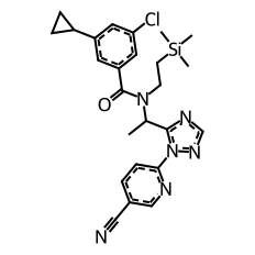 CC(c1ncnn1-c1ccc(C#N)cn1)N(CC[Si](C)(C)C)C(=O)c1cc(Cl)cc(C2CC2)c1